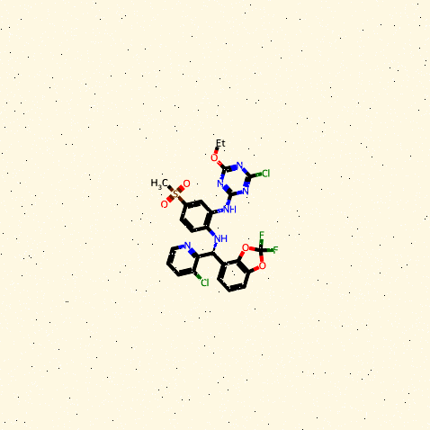 CCOc1nc(Cl)nc(Nc2cc(S(C)(=O)=O)ccc2N[C@@H](c2cccc3c2OC(F)(F)O3)c2ncccc2Cl)n1